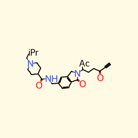 C#CC(=O)CCC(C(C)=O)N1Cc2cc(CNC(=O)C3CCN(CC(C)C)CC3)ccc2C1=O